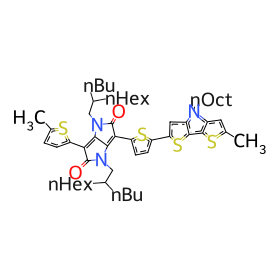 CCCCCCCCn1c2cc(C)sc2c2sc(-c3ccc(C4=C5C(=C(c6ccc(C)s6)C(=O)N5CC(CCCC)CCCCCC)N(CC(CCCC)CCCCCC)C4=O)s3)cc21